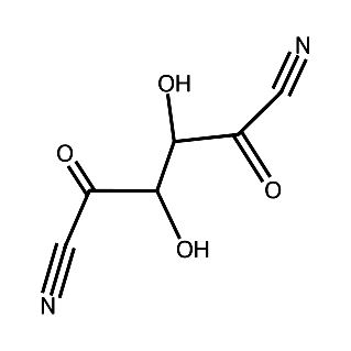 N#CC(=O)C(O)C(O)C(=O)C#N